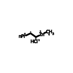 CCCC[CH2][Zn][CH3].Cl